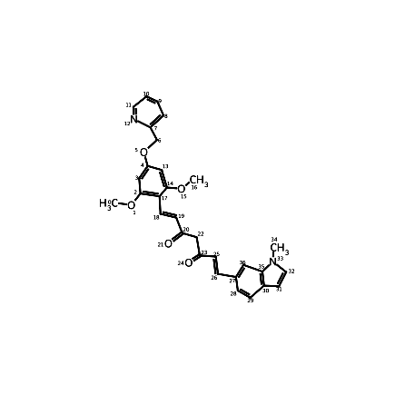 COc1cc(OCc2ccccn2)cc(OC)c1C=CC(=O)CC(=O)C=Cc1ccc2ccn(C)c2c1